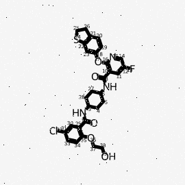 O=C(NC1CCC(NC(=O)c2cc(F)cnc2Oc2ccc3c(c2)SCC3)CC1)c1cc(Cl)ccc1OCCO